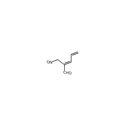 C=C/C=C(/C=O)CN=O